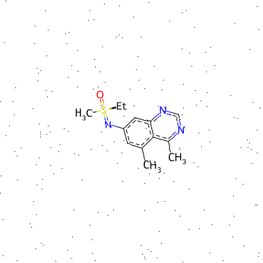 CC[S@@](C)(=O)=Nc1cc(C)c2c(C)ncnc2c1